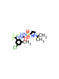 Cc1cc(Cl)cc(C(F)(F)F)c1NC(=O)NS(=O)(=O)c1ccn(C(C)C)n1